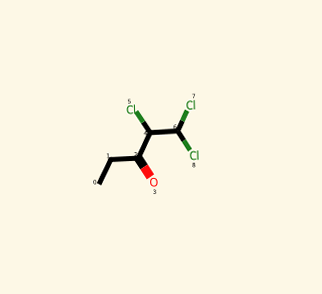 CCC(=O)C(Cl)C(Cl)Cl